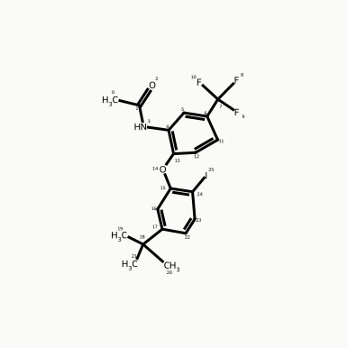 CC(=O)Nc1cc(C(F)(F)F)ccc1Oc1cc(C(C)(C)C)ccc1I